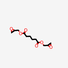 O=C(CCCCC(=O)OCC1CO1)OCC1CO1